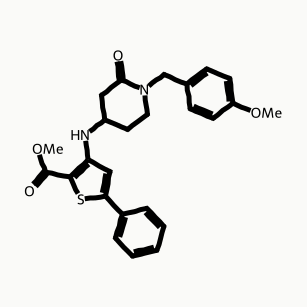 COC(=O)c1sc(-c2ccccc2)cc1NC1CCN(Cc2ccc(OC)cc2)C(=O)C1